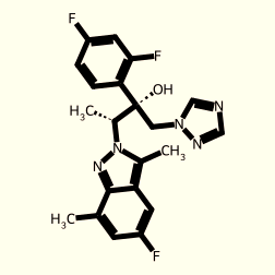 Cc1cc(F)cc2c(C)n([C@H](C)[C@](O)(Cn3cncn3)c3ccc(F)cc3F)nc12